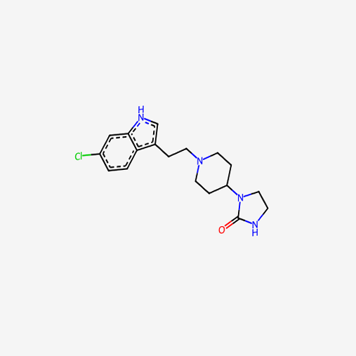 O=C1NCCN1C1CCN(CCc2c[nH]c3cc(Cl)ccc23)CC1